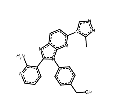 Cc1nncn1-c1ccc2nc(-c3cccnc3N)n(-c3ccc(CO)cc3)c2n1